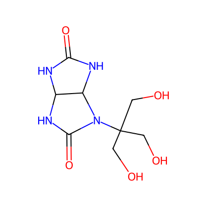 O=C1NC2NC(=O)N(C(CO)(CO)CO)C2N1